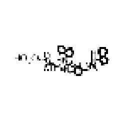 O=C(O)/C=C/C(=O)N(O)CCCCN(Cc1ccc(CNC(=S)Nc2cccc3ccccc23)cc1)C(=S)Nc1cccc2ccccc12